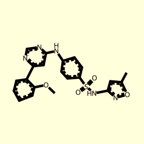 COc1ccccc1-c1cc(Nc2ccc(S(=O)(=O)Nc3cc(C)on3)cc2)ncn1